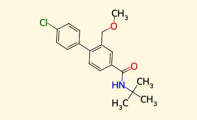 COCc1cc(C(=O)NC(C)(C)C)ccc1-c1ccc(Cl)cc1